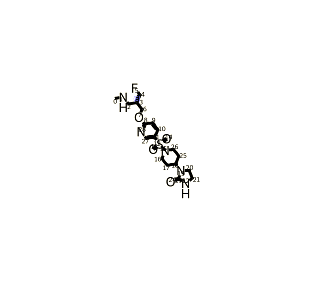 CNC/C(=C\F)COc1ccc(S(=O)(=O)N2CCC(N3CCNC3=O)CC2)cn1